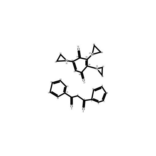 O=C(CC(=O)c1ccccc1)c1ccccc1.O=C1C=C(N2CC2)C(=O)C(N2CC2)=C1N1CC1